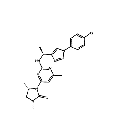 Cc1cc(N2C(=O)N(C)C[C@@H]2C)nc(N[C@@H](C)c2cn(-c3ccc(Cl)cc3)cn2)n1